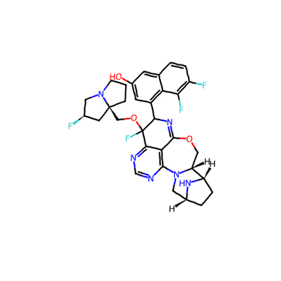 Oc1cc(C2N=C3OC[C@@H]4[C@@H]5CC[C@H](CN4c4ncnc(c43)C2(F)OC[C@]23CCCN2C[C@H](F)C3)N5)c2c(F)c(F)ccc2c1